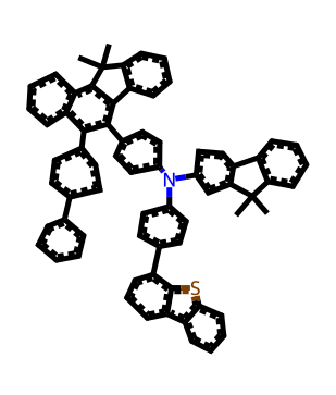 CC1(C)c2ccccc2-c2ccc(N(c3ccc(-c4c5c(c6ccccc6c4-c4ccc(-c6ccccc6)cc4)C(C)(C)c4ccccc4-5)cc3)c3ccc(-c4cccc5c4sc4ccccc45)cc3)cc21